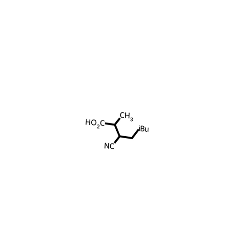 CCC(C)CC(C#N)C(C)C(=O)O